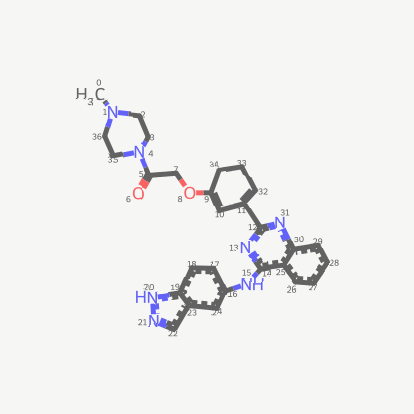 CN1CCN(C(=O)COC2=CC(c3nc(Nc4ccc5[nH]ncc5c4)c4ccccc4n3)=CCC2)CC1